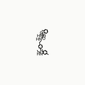 CCC1Nc2cc(C)ccc2N1c1ccc(CCNC(=O)NS(=O)(=O)c2ccccc2C)cc1